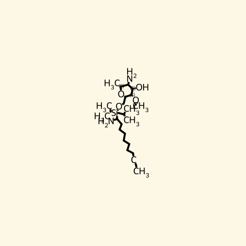 CCCCCCCCCCC(N)[Si](OCC1O[C@@H](C)C(N)[C@@H](O)[C@@H]1OC)(C(C)C)C(C)C